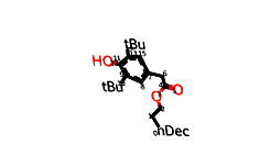 CCCCCCCCCCCCOC(=O)Cc1cc(C(C)(C)C)c(O)c(C(C)(C)C)c1